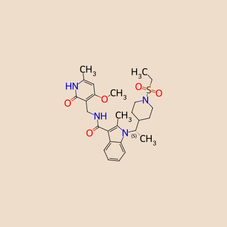 CCS(=O)(=O)N1CCC([C@H](C)n2c(C)c(C(=O)NCc3c(OC)cc(C)[nH]c3=O)c3ccccc32)CC1